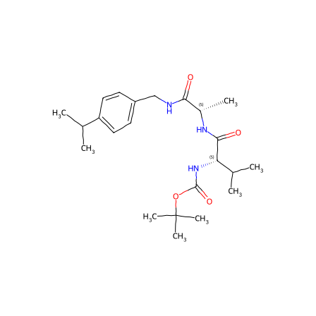 CC(C)c1ccc(CNC(=O)[C@H](C)NC(=O)[C@@H](NC(=O)OC(C)(C)C)C(C)C)cc1